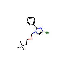 C[Si](C)(C)CCOCn1cc(Br)nc1-c1ccccc1